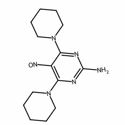 Nc1nc(N2CCCCC2)c(N=O)c(N2CCCCC2)n1